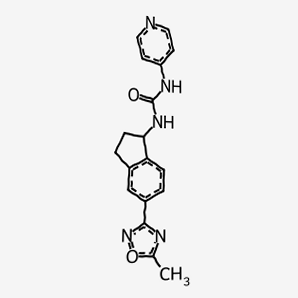 Cc1nc(-c2ccc3c(c2)CCC3NC(=O)Nc2ccncc2)no1